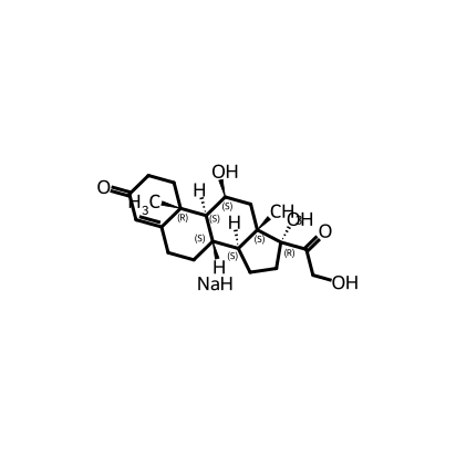 C[C@]12CCC(=O)C=C1CC[C@@H]1[C@@H]2[C@@H](O)C[C@@]2(C)[C@H]1CC[C@]2(O)C(=O)CO.[NaH]